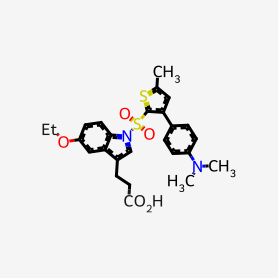 CCOc1ccc2c(c1)c(CCC(=O)O)cn2S(=O)(=O)c1sc(C)cc1-c1ccc(N(C)C)cc1